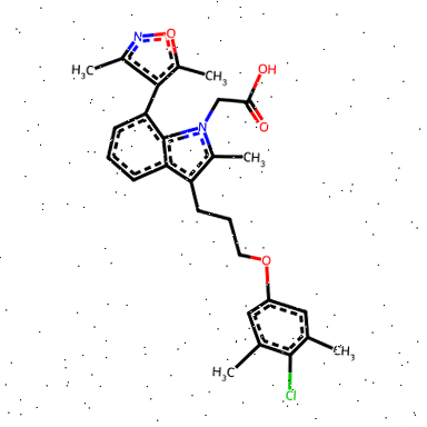 Cc1cc(OCCCc2c(C)n(CC(=O)O)c3c(-c4c(C)noc4C)cccc23)cc(C)c1Cl